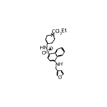 CCOC(=O)N1CCC(NS(=O)(=O)c2ccc(NCc3ccoc3)c3ccccc23)CC1